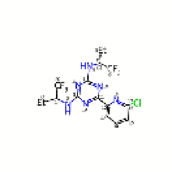 CCC(Nc1nc(N[C@@H](CC)C(F)(F)F)nc(-c2cccc(Cl)n2)n1)C(F)(F)F